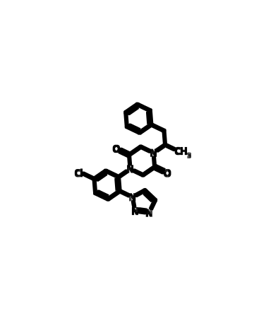 CC(Cc1ccccc1)N1CC(=O)N(c2cc(Cl)ccc2-n2ccnn2)CC1=O